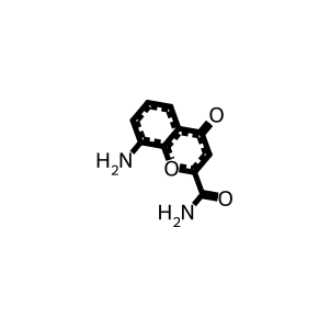 NC(=O)c1cc(=O)c2cccc(N)c2o1